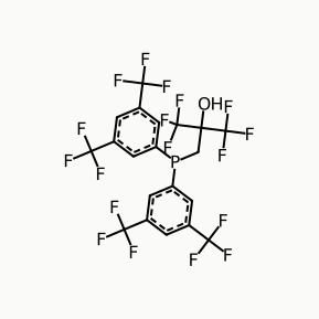 OC(CP(c1cc(C(F)(F)F)cc(C(F)(F)F)c1)c1cc(C(F)(F)F)cc(C(F)(F)F)c1)(C(F)(F)F)C(F)(F)F